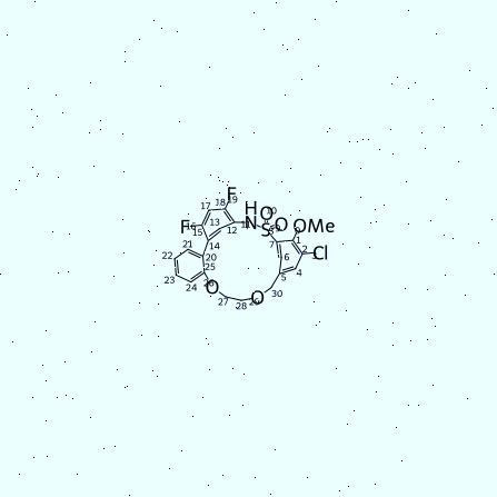 COc1c(Cl)cc2cc1S(=O)(=O)Nc1cc(c(F)cc1F)-c1ccccc1OCCOC2